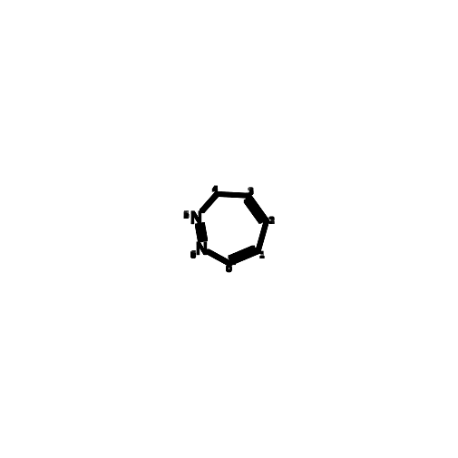 [C]1=CC=CCN=N1